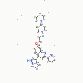 C1=C(c2cc(-c3ccccn3)nc3cc(OCCCN4CCC(N5CCCCC5)CC4)ccc23)C2=CCCN2N1